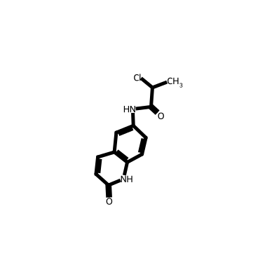 CC(Cl)C(=O)Nc1ccc2[nH]c(=O)ccc2c1